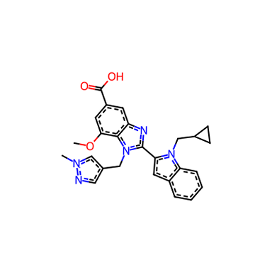 COc1cc(C(=O)O)cc2nc(-c3cc4ccccc4n3CC3CC3)n(Cc3cnn(C)c3)c12